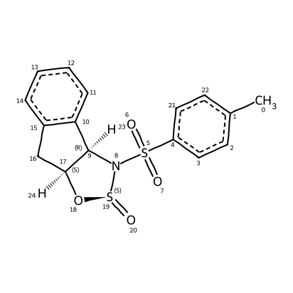 Cc1ccc(S(=O)(=O)N2[C@@H]3c4ccccc4C[C@@H]3O[S@@]2=O)cc1